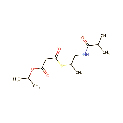 CC(C)OC(=O)CC(=O)SC(C)CNC(=O)C(C)C